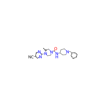 C[C@H]1CN(C(=O)NC2CCN(Cc3ccccc3)CC2)CCN1c1ncc(C#N)cn1